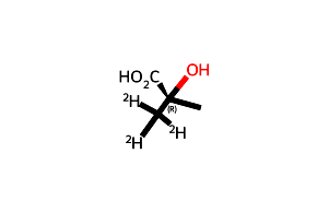 [2H]C([2H])([2H])[C@@](C)(O)C(=O)O